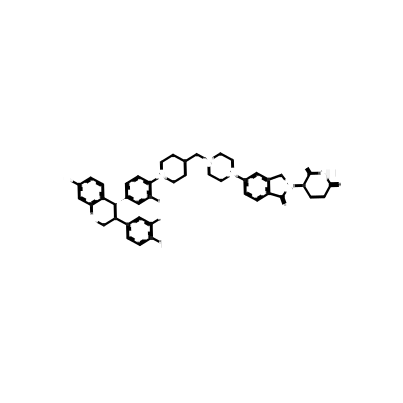 O=C1CCC(N2Cc3cc(N4CCN(CC5CCN(c6ccc([C@@H]7c8ccc(O)cc8OCC7c7ccc(F)c(F)c7)cc6F)CC5)CC4)ccc3C2=O)C(=O)N1